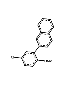 COc1ccc(Cl)cc1-c1ccc2ccccc2c1